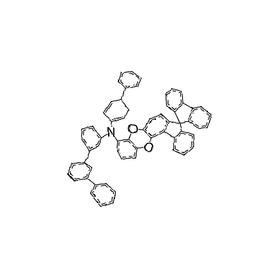 C1=CC(c2ccccc2)CC=C1N(c1cccc(-c2cccc(-c3ccccc3)c2)c1)c1cccc2c1Oc1ccc3c(c1O2)-c1ccccc1C31c2ccccc2-c2ccccc21